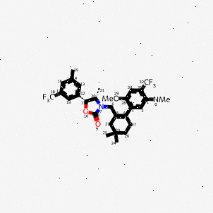 CNc1cc(C2=C(CN3C(=O)O[C@H](c4cc(C)cc(C(F)(F)F)c4)[C@@H]3C)CC(C)(C)CC2)c(OC)cc1C(F)(F)F